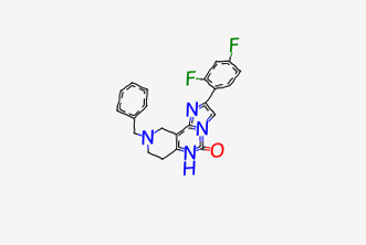 O=c1[nH]c2c(c3nc(-c4ccc(F)cc4F)cn13)CN(Cc1ccccc1)CC2